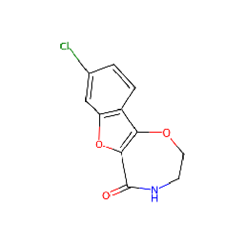 O=C1NCCOc2c1oc1cc(Cl)ccc21